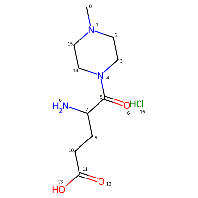 CN1CCN(C(=O)C(N)CCC(=O)O)CC1.Cl